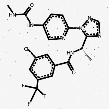 CNC(=O)Nc1ccc(-n2ncnc2[C@H](C)NC(=O)c2cc(Cl)cc(C(F)(F)F)c2)nc1